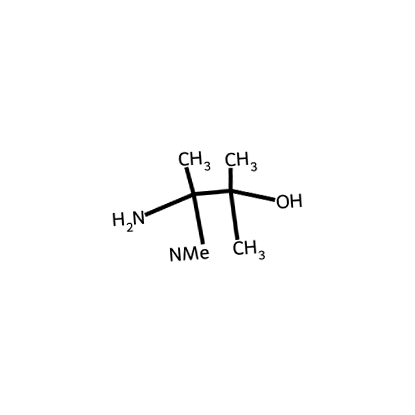 CNC(C)(N)C(C)(C)O